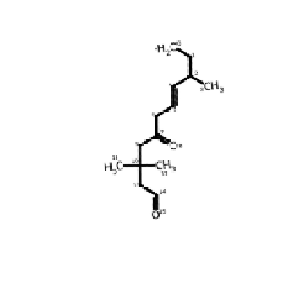 [CH2]CC(C)C=CCC(=O)CC(C)(C)CC=O